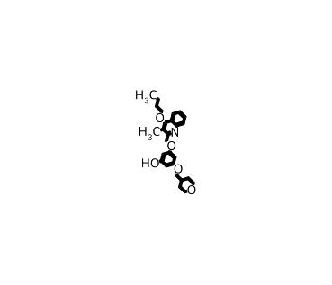 CCCCOc1c(C)c(COc2cc(O)cc(OCC3CCOCC3)c2)nc2ccccc12